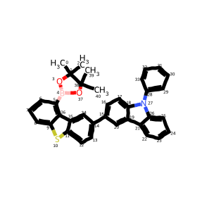 CC1(C)OB(c2cccc3sc4ccc(-c5ccc6c(c5)c5ccccc5n6-c5ccccc5)cc4c23)OC1(C)C